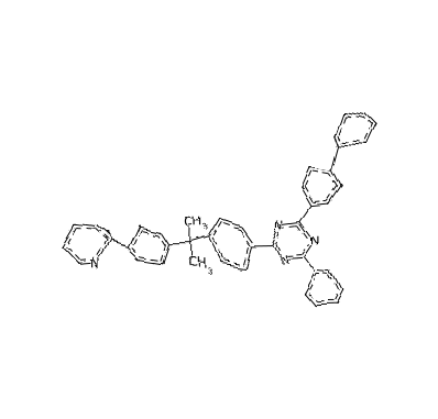 CC(C)(c1ccc(-c2ccccn2)cc1)c1ccc(-c2nc(-c3ccccc3)nc(-c3ccc(-c4ccccc4)cc3)n2)cc1